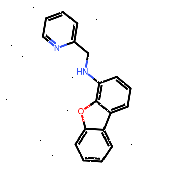 c1ccc(CNc2cccc3c2oc2ccccc23)nc1